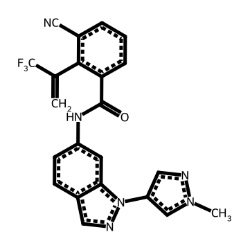 C=C(c1c(C#N)cccc1C(=O)Nc1ccc2cnn(-c3cnn(C)c3)c2c1)C(F)(F)F